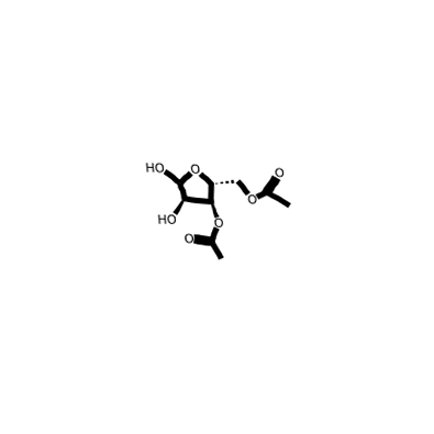 CC(=O)OC[C@H]1OC(O)[C@H](O)[C@@H]1OC(C)=O